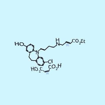 CCOC(=O)/C=C/CNCCCCN1c2ccc(O)cc2CCc2ccc(Cl)cc21.O=C(O)/C=C\C(=O)O